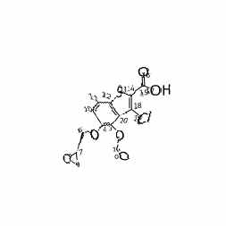 O=COc1c(OC[C@H]2CO2)ccc2sc(C(=O)O)c(Cl)c12